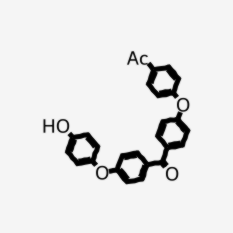 CC(=O)c1ccc(Oc2ccc(C(=O)c3ccc(Oc4ccc(O)cc4)cc3)cc2)cc1